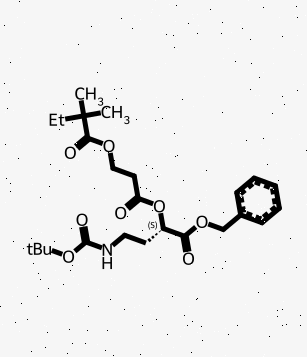 CCC(C)(C)C(=O)OCCC(=O)O[C@@H](CCNC(=O)OC(C)(C)C)C(=O)OCc1ccccc1